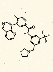 Cc1ccc(C(=O)Nc2cc(CN3CCCC3)cc(C(F)(F)F)c2)cc1-c1cncc2cccnc12